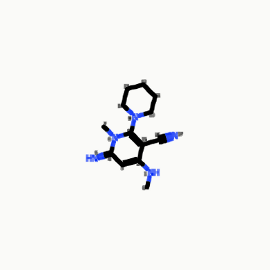 CNc1cc(=N)n(C)c(N2CCCCC2)c1C#N